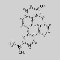 CN(C)c1ccc(-c2cccc(Cn3c(=O)cnc4ccncc43)c2)cn1